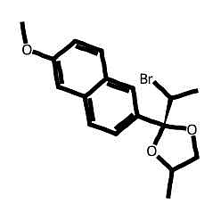 COc1ccc2cc([C@]3(C(C)Br)OCC(C)O3)ccc2c1